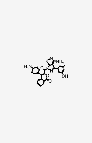 CC(c1oc(=O)c2ccccc2c1C1=CCC(N)CC1)n1nc(-c2cc(O)cc(F)c2)c2c(N)ncnc21